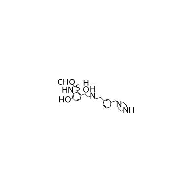 O=CC1Nc2c(O)ccc([C@@H](O)CNCCc3cccc(CN4CCNCC4)c3)c2S1